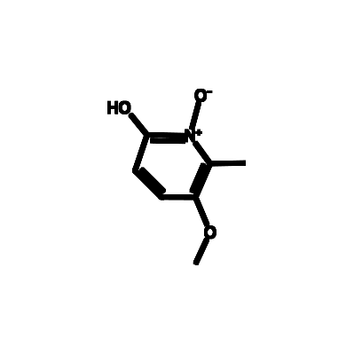 COc1ccc(O)[n+]([O-])c1C